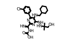 CC(C)(CO)NNc1nc(C(=N)NC(=O)O)nc(-c2cccc(Cl)c2)c1NCC1CCCCC1